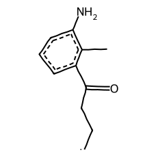 [CH2]CCC(=O)c1cccc(N)c1C